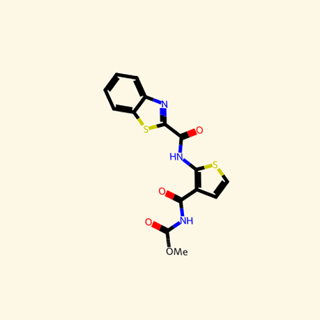 COC(=O)NC(=O)c1ccsc1NC(=O)c1nc2ccccc2s1